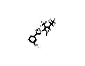 Cn1nc(C(F)(F)C(F)(F)F)c(C(F)(F)F)c1-n1cc(-c2cccc(N)c2)nn1